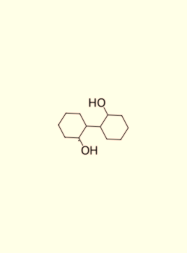 O[C]1CCCCC1C1CCCCC1O